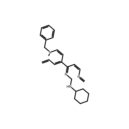 C=C/C=C(\C=C/N(C)Cc1ccccc1)C(/C=C\N=C)=N/CNC1CCCCC1